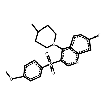 COc1ccc(S(=O)(=O)c2cnc3cc(F)ccc3c2N2CCC(C)CC2)cc1